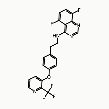 Fc1ccc(F)c2c(NCCc3ccc(Oc4cccnc4C(F)(F)F)cc3)ncnc12